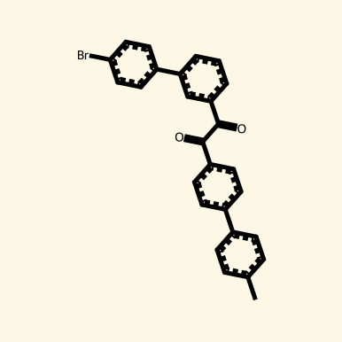 Cc1ccc(-c2ccc(C(=O)C(=O)c3cccc(-c4ccc(Br)cc4)c3)cc2)cc1